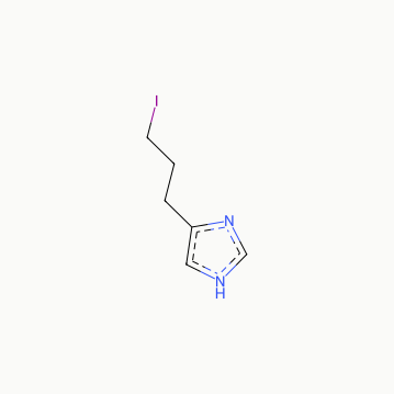 ICCCc1c[nH]cn1